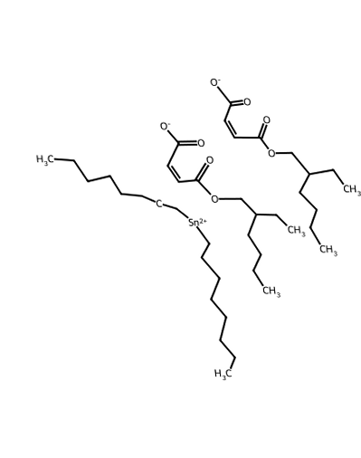 CCCCC(CC)COC(=O)/C=C\C(=O)[O-].CCCCC(CC)COC(=O)/C=C\C(=O)[O-].CCCCCCC[CH2][Sn+2][CH2]CCCCCCC